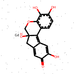 O=C1C=C2CC3(O)COc4c(ccc(O)c4O)C3=C2C=C1O.[Gd]